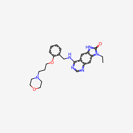 CCn1c(=O)[nH]c2cc3c(NCc4ccccc4OCCCN4CCOCC4)ncnc3cc21